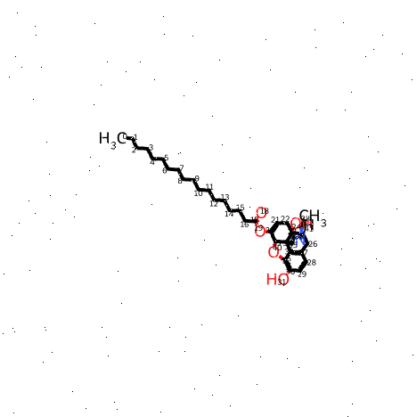 CCCCCCCCCCCCCCCCCC(=O)OC1=CC[C@@]2(O)[C@H]3Cc4ccc(O)c5c4C2(CCN3C)C1O5